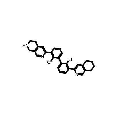 Clc1c(-c2cc3c(cn2)CCCC3)cccc1-c1cccc(-c2cc3c(cn2)CNCC3)c1Cl